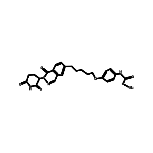 CC(C)(C)OC(=O)Nc1ccc(OCCCCCc2ccc3c(=O)n(C4CCC(=O)NC4=O)ncc3c2)cc1